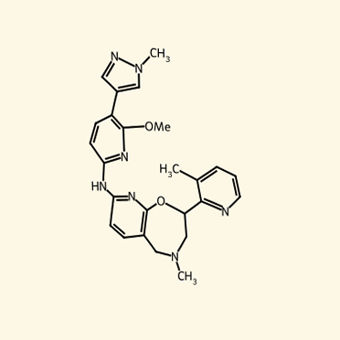 COc1nc(Nc2ccc3c(n2)OC(c2ncccc2C)CN(C)C3)ccc1-c1cnn(C)c1